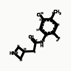 Cc1cc(F)c(NC(=O)CC2CNC2)cc1Cl